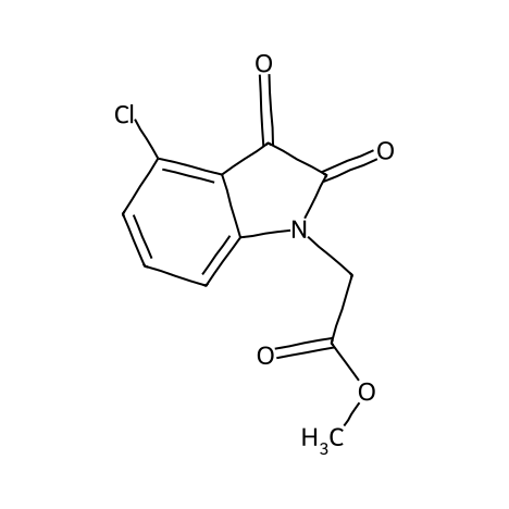 COC(=O)CN1C(=O)C(=O)c2c(Cl)cccc21